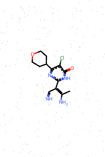 C/C(N)=C(/C=N)c1nc(C2CCOCC2)c(Cl)c(=O)[nH]1